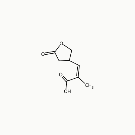 CC(=CC1COC(=O)C1)C(=O)O